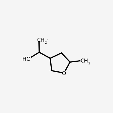 [CH2]C(O)C1[CH]OC(C)C1